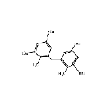 Cc1c(Cc2[c]c(C(C)(C)C)cc(C(C)(C)C)c2C)[c]c(C(C)(C)C)cc1C(C)(C)C